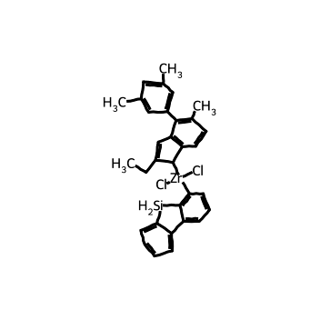 CCC1=Cc2c(ccc(C)c2-c2cc(C)cc(C)c2)[CH]1[Zr]([Cl])([Cl])[c]1cccc2c1[SiH2]c1ccccc1-2